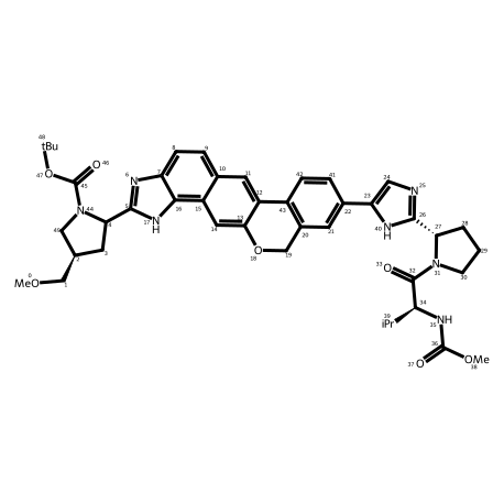 COC[C@@H]1CC(c2nc3ccc4cc5c(cc4c3[nH]2)OCc2cc(-c3cnc([C@@H]4CCCN4C(=O)[C@@H](NC(=O)OC)C(C)C)[nH]3)ccc2-5)N(C(=O)OC(C)(C)C)C1